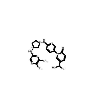 Cc1ncc(N[C@H]2CC[C@H](Nc3ccc(-n4cc(C(O)O)ccc4=O)cn3)C2)nc1C